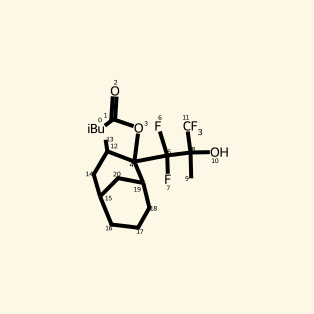 CCC(C)C(=O)OC1(C(F)(F)C(C)(O)C(F)(F)F)C(C)CC2CCCC1C2